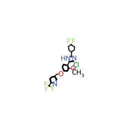 COc1cc(OCc2ccc(C(F)(F)F)nc2)ccc1-c1[nH]c(C2CCC(F)(F)CC2)nc1Cl